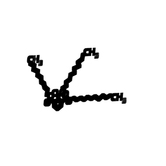 CCCCCCCCCCCCOC(=O)c1cccc(C(=O)OCCCCCCCCCCCC)c1C(=O)OCCCCCCCCCCCC